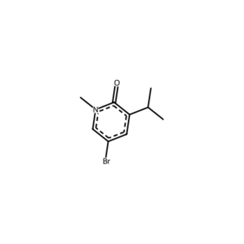 CC(C)c1cc(Br)cn(C)c1=O